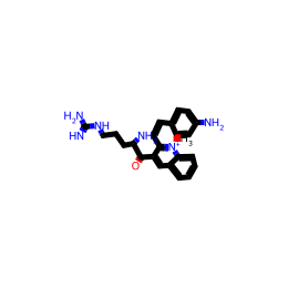 C[n+]1c(/C=C\c2ccc(N)cc2)c(C(=O)C(N)CCCNC(=N)N)cc2ccccc21